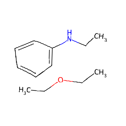 CCNc1ccccc1.CCOCC